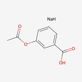 CC(=O)Oc1cccc(C(=O)O)c1.[NaH]